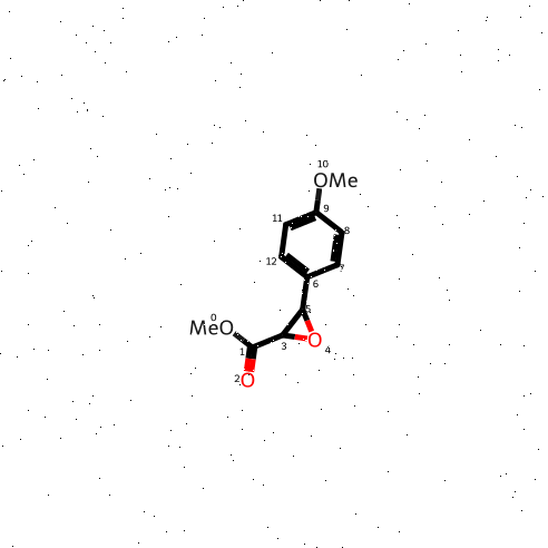 COC(=O)C1OC1c1ccc(OC)cc1